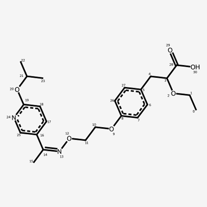 CCOC(Cc1ccc(OCCON=C(C)c2ccc(OC(C)C)nc2)cc1)C(=O)O